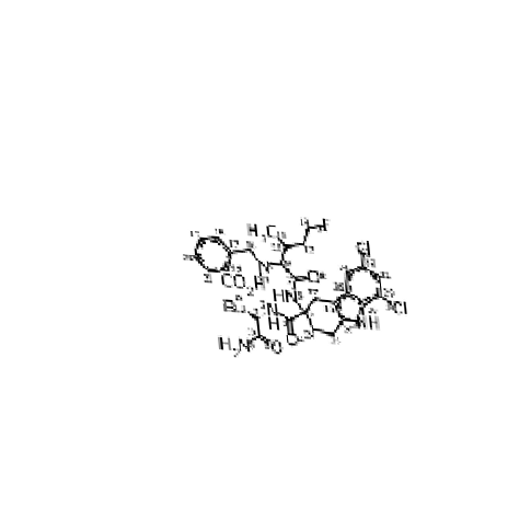 CC[C@H](C)[C@H](NC(=O)[C@@]1(NC(=O)C(C(C)CCF)N(Cc2ccccc2)C(=O)O)CCc2[nH]c3c(Cl)cc(Cl)cc3c2C1)C(N)=O